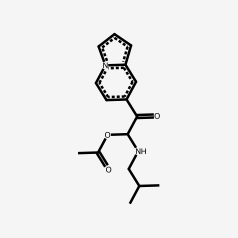 CC(=O)OC(NCC(C)C)C(=O)c1ccn2cccc2c1